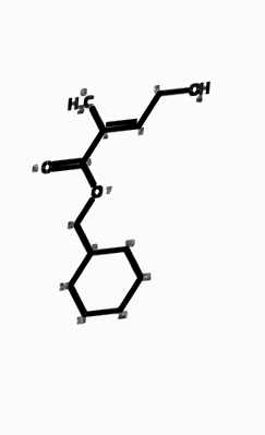 CC(=CCO)C(=O)OCC1CCCCC1